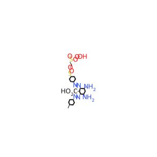 Cc1ccc(N=Nc2c(N)cc(N)c(N=Nc3ccc(SOOCCS(=O)OOO)cc3)c2C(=O)O)cc1